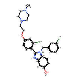 CN1CCN(CCOc2ccc(-c3nc4cc(O)ccc4n3Cc3cccc(Cl)c3)c(Cl)c2)CC1